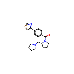 O=C(c1ccc(-c2cscn2)cc1)N1CCCC1CN1CCCC1